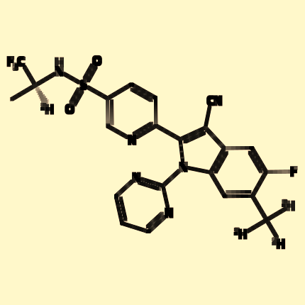 [2H]C([2H])([2H])c1cc2c(cc1F)c(C#N)c(-c1ccc(S(=O)(=O)N[C@@]([2H])(C)C(F)(F)F)cn1)n2-c1ncccn1